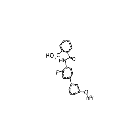 CCCOc1cccc(-c2ccc(NC(=O)c3ccccc3C(=O)O)c(F)c2)c1